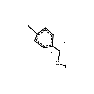 Cc1ccc(COI)cc1